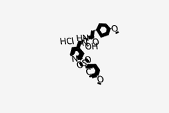 COc1ccc(S(=O)(=O)c2cc(CN(O)NC(=O)C[C@H]3CC[C@@H](OC)CC3)ccn2)cc1.Cl